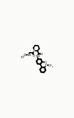 CCONCC(=O)N1CCCCC1C(=O)Nc1ccc(-c2ccccc2OC(F)(F)F)c(Cl)c1